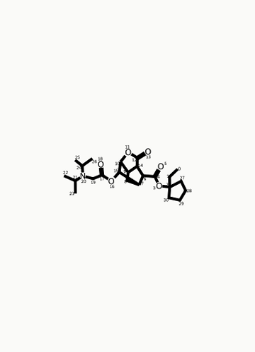 CCC1(OC(=O)C2C3CC4C(OC(=O)C42)C3OC(=O)CN(C(C)C)C(C)C)CCCC1